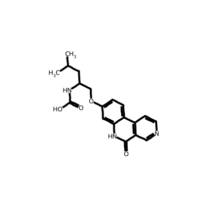 CC(C)CC(COc1ccc2c(c1)[nH]c(=O)c1cnccc12)NC(=O)O